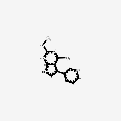 COc1nc(N)c2c(-c3cccnc3)c[nH]c2n1